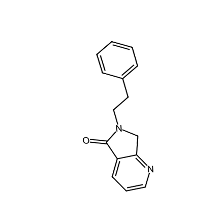 O=C1c2cccnc2CN1CCc1ccccc1